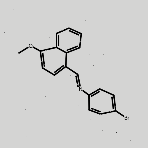 COc1ccc(C=Nc2ccc(Br)cc2)c2ccccc12